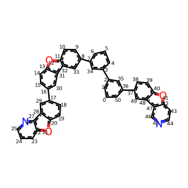 c1cc(-c2cccc(-c3ccc4oc5ccc(-c6ccc7oc8cccnc8c7c6)cc5c4c3)c2)cc(-c2ccc3oc4ccncc4c3c2)c1